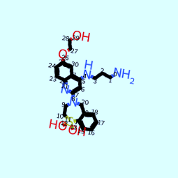 NCCCNc1cc(N2CCS(O)(O)c3ccccc3C2)nc2ccc(OCCO)cc12